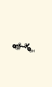 C=CC(=O)N(CCCCCC(=O)NCc1ccccc1O)c1ccc(O)cc1